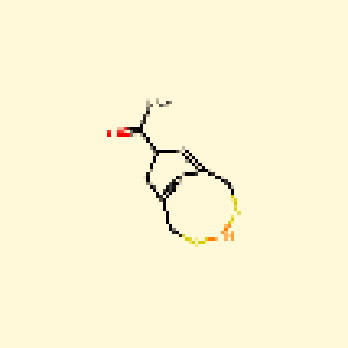 CNC(=O)C1C=C2C=C(CSPSC2)C1